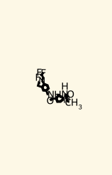 Cn1c(=O)[nH]c2cc(C(=O)NCc3ccc4c(c3)CCN4CC(F)(F)F)ccc21